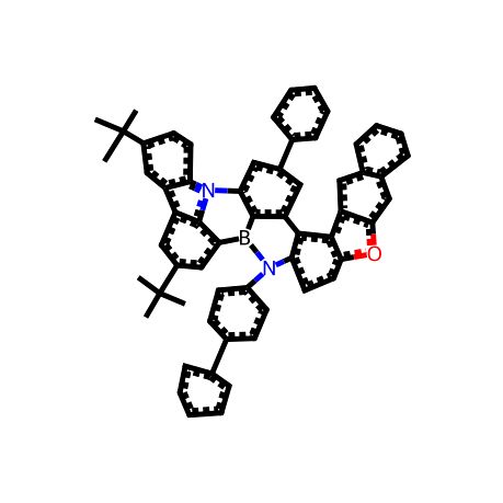 CC(C)(C)c1ccc2c(c1)c1cc(C(C)(C)C)cc3c1n2-c1cc(-c2ccccc2)cc2c1B3N(c1ccc(-c3ccccc3)cc1)c1ccc3oc4cc5ccccc5cc4c3c1-2